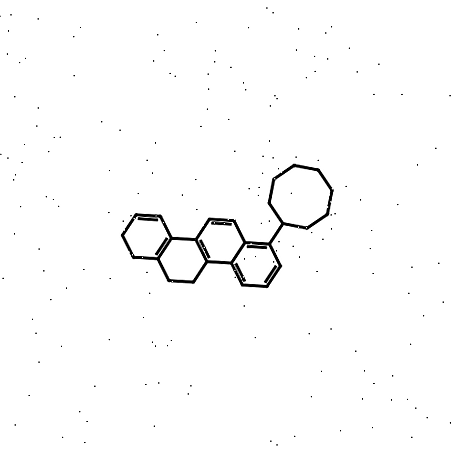 C1=CC2=C(CC1)CCc1c2ccc2c(C3CCCCCCC3)cccc12